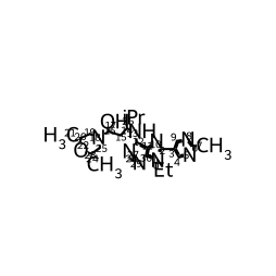 CCn1c(-c2cnc(C)nc2)nc2c(N[C@H](CC(O)N3C[C@@H](C)O[C@@H](C)C3)C(C)C)ncnc21